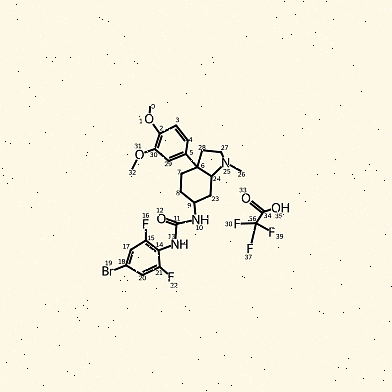 COc1ccc(C23CCC(NC(=O)Nc4c(F)cc(Br)cc4F)CC2N(C)CC3)cc1OC.O=C(O)C(F)(F)F